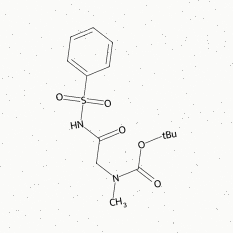 CN(CC(=O)NS(=O)(=O)c1ccccc1)C(=O)OC(C)(C)C